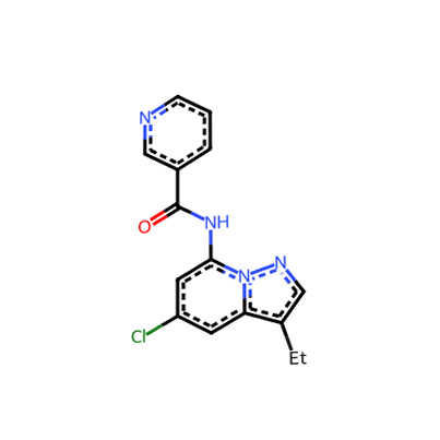 CCc1cnn2c(NC(=O)c3cccnc3)cc(Cl)cc12